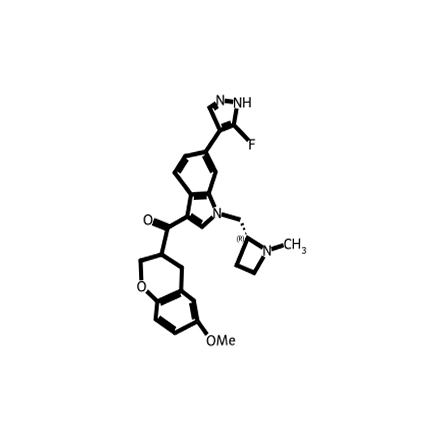 COc1ccc2c(c1)CC(C(=O)c1cn(C[C@H]3CCN3C)c3cc(-c4cn[nH]c4F)ccc13)CO2